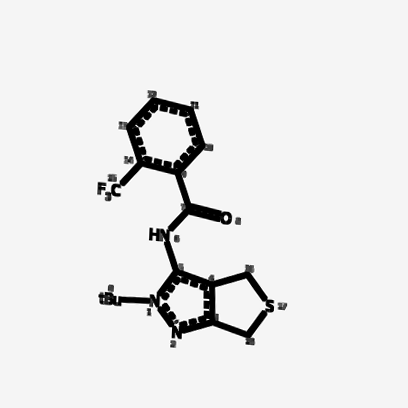 CC(C)(C)n1nc2c(c1NC(=O)c1ccccc1C(F)(F)F)CSC2